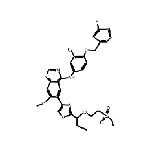 CCC(OCCS(=O)(=O)CC)c1nc(-c2cc3c(Nc4ccc(OCc5cccc(F)c5)c(Cl)c4)ncnc3cc2OC)cs1